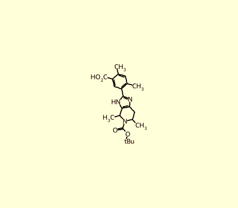 Cc1cc(C)c(-c2nc3c([nH]2)C(C)N(C(=O)OC(C)(C)C)C(C)C3)cc1C(=O)O